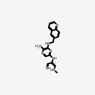 CN/C=C(\C=N)Nc1cnc(N)c(NCc2ccc3ncccc3c2)n1